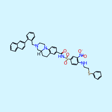 O=C(NS(=O)(=O)c1ccc(NCCSc2ccccc2)c([N+](=O)[O-])c1)c1ccc2c(c1)CC[C@@H]1CN(Cc3ccccc3-c3ccc4ccccc4c3)CCN21